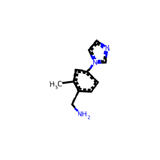 Cc1cc(-n2ccnc2)ccc1CN